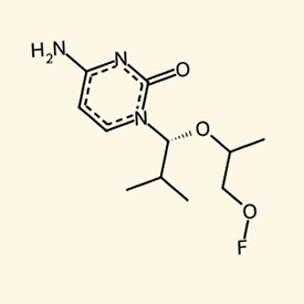 CC(COF)O[C@H](C(C)C)n1ccc(N)nc1=O